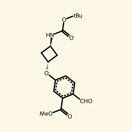 COC(=O)c1cc(O[C@H]2C[C@H](NC(=O)OC(C)(C)C)C2)ccc1C=O